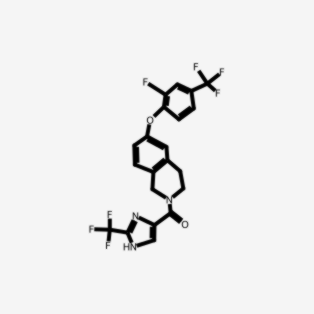 O=C(c1c[nH]c(C(F)(F)F)n1)N1CCc2cc(Oc3ccc(C(F)(F)F)cc3F)ccc2C1